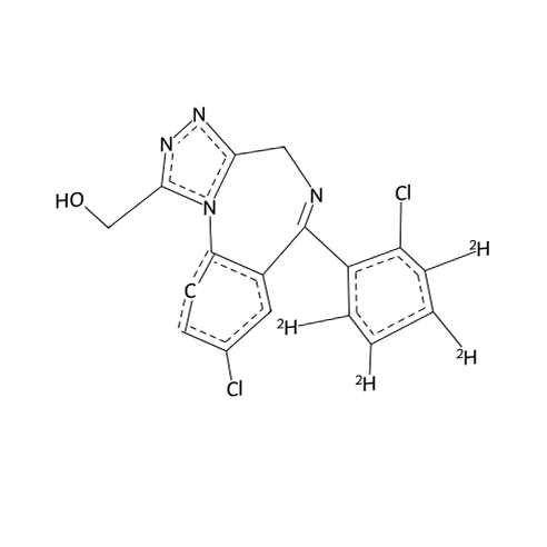 [2H]c1c([2H])c([2H])c(C2=NCc3nnc(CO)n3-c3ccc(Cl)cc32)c(Cl)c1[2H]